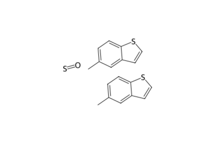 Cc1ccc2sccc2c1.Cc1ccc2sccc2c1.O=S